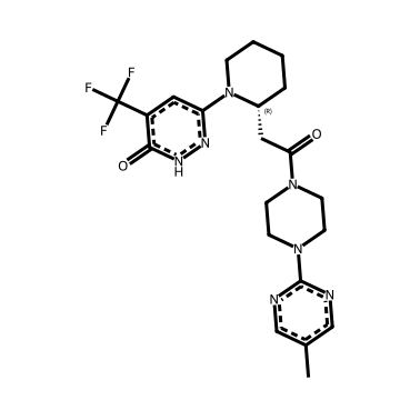 Cc1cnc(N2CCN(C(=O)C[C@H]3CCCCN3c3cc(C(F)(F)F)c(=O)[nH]n3)CC2)nc1